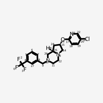 FC(F)(F)c1cccc(CN2CCN3C[C@H](Oc4ccc(Cl)cn4)C[C@H]3C2)c1